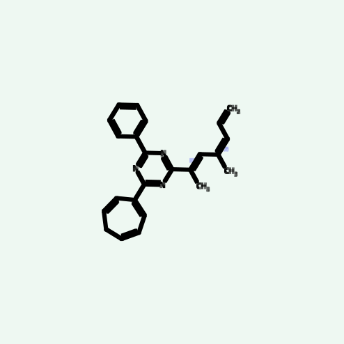 C=C/C=C(C)\C=C(/C)c1nc(C2=CC=CCC=C2)nc(-c2ccccc2)n1